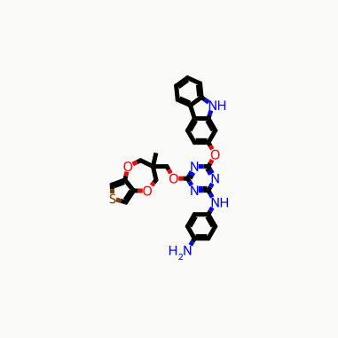 CC1(COc2nc(Nc3ccc(N)cc3)nc(Oc3ccc4c(c3)[nH]c3ccccc34)n2)COc2cscc2OC1